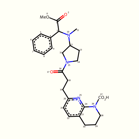 COC(=O)C(c1ccccc1)N(C)C1CCN(C(=O)CCc2ccc3c(n2)N(C(=O)O)CCC3)C1